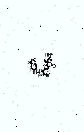 CCC12CC(NC)CN1C(=O)c1cc(-c3nc(N[C@H]4CCN(S(C)(=O)=O)C[C@H]4C)ncc3C(F)(F)F)sc12